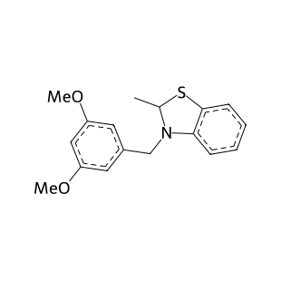 COc1cc(CN2c3ccccc3SC2C)cc(OC)c1